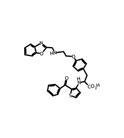 O=C(c1ccccc1)c1sccc1NC(Cc1ccc(OCCNCc2nc3ccccc3o2)cc1)C(=O)O